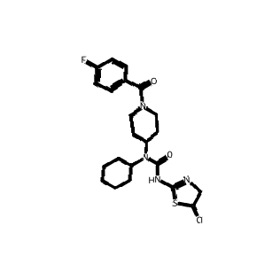 O=C(c1ccc(F)cc1)N1CCC(N(C(=O)NC2=NCC(Cl)S2)C2CCCCC2)CC1